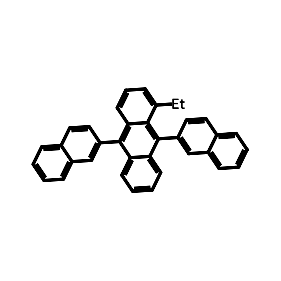 CCc1cccc2c(-c3ccc4ccccc4c3)c3ccccc3c(-c3ccc4ccccc4c3)c12